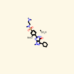 COc1cc(S(=O)(=O)N(C)CCN(C)C)ccc1-c1nc2c(c(C3CCCCC3)nn2C)c(=O)[nH]1.CS(=O)(=O)O